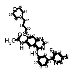 CC(=O)Nc1cc2c(Nc3cccc(-c4ncc(F)cc4F)c3)ncnc2cc1OCCCN1CCOCC1